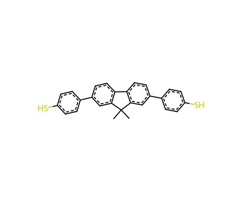 CC1(C)c2cc(-c3ccc(S)cc3)ccc2-c2ccc(-c3ccc(S)cc3)cc21